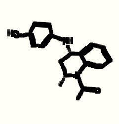 CC(=O)N1c2ccccc2[C@@H](Nc2ccc(O)cc2)C[C@H]1C